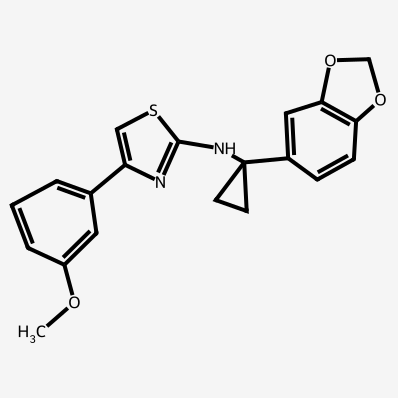 COc1cccc(-c2csc(NC3(c4ccc5c(c4)OCO5)CC3)n2)c1